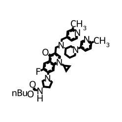 CCCCOC(=O)N[C@H]1CCN(c2cc3c(cc2F)c(=O)c(CN(Cc2ccnc(C)c2)[C@H]2CCCN(c4ccc(C)nc4)C2)cn3C2CC2)C1